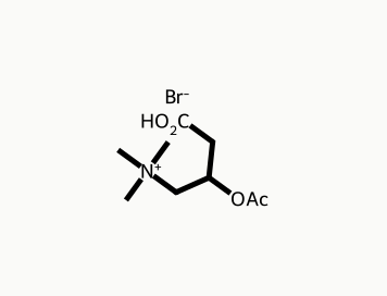 CC(=O)OC(CC(=O)O)C[N+](C)(C)C.[Br-]